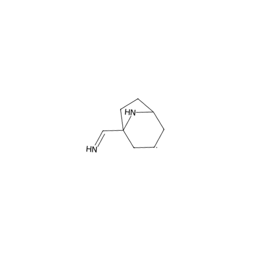 N=CC12C[CH]CC(CC1)N2